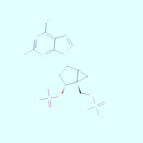 CNc1nc(Cl)nc2c1ncn2[C@H]1C[C@H](OP(=O)(O)O)[C@@]2(COP(=O)(O)O)C[C@H]12